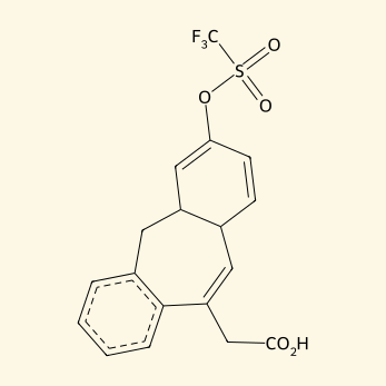 O=C(O)CC1=CC2C=CC(OS(=O)(=O)C(F)(F)F)=CC2Cc2ccccc21